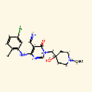 Cc1ccc(Br)cc1Nc1ncn(CC2(O)CCN(C=O)CC2)c(=O)c1C=N